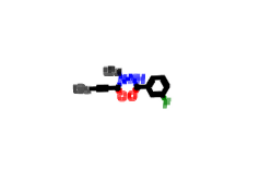 CC(C)(C)C#CC(=O)N(NC(=O)c1cccc(F)c1)C(C)(C)C